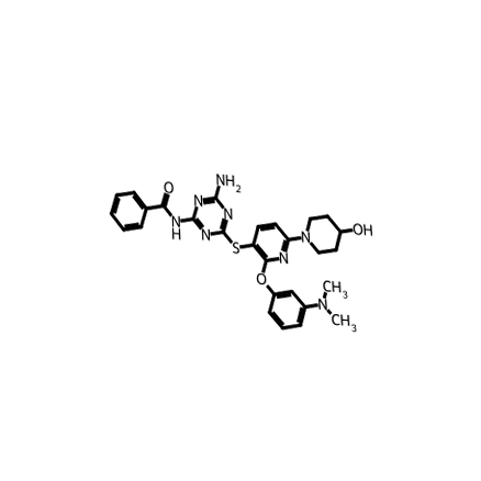 CN(C)c1cccc(Oc2nc(N3CCC(O)CC3)ccc2Sc2nc(N)nc(NC(=O)c3ccccc3)n2)c1